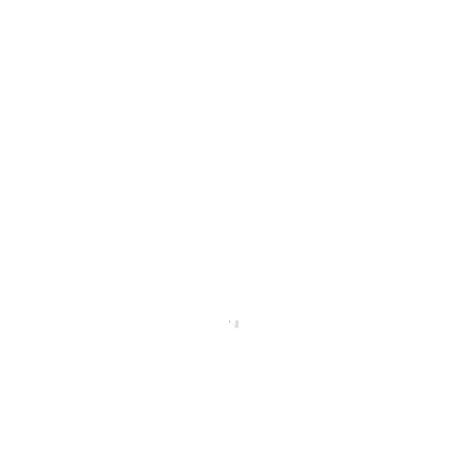 CS(=N)c1ccc(C(F)F)cc1